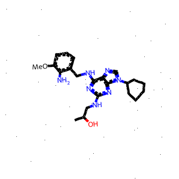 COc1cccc(CNc2nc(NCC(C)O)nc3c2ncn3C2CCCCC2)c1N